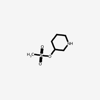 CS(=O)(=O)OC1CCCNC1